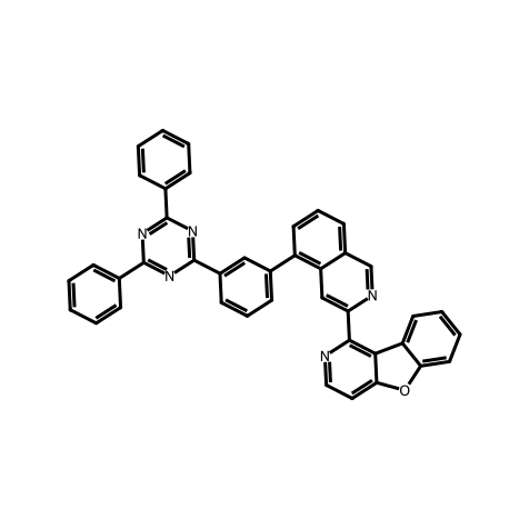 c1ccc(-c2nc(-c3ccccc3)nc(-c3cccc(-c4cccc5cnc(-c6nccc7oc8ccccc8c67)cc45)c3)n2)cc1